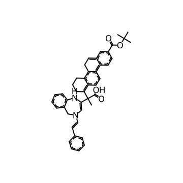 CC(C)(C)OC(=O)c1ccc2c(c1)=CCc1c3c(ccc1=2)=C(C(C)(C(=O)O)C1=CN(C=Cc2ccccc2)Cc2ccccc2N1)CCC3